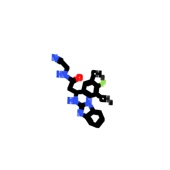 Cc1cc(C(CC(=O)NCC#N)Nc2nc3ccccc3[nH]2)cc(C)c1F